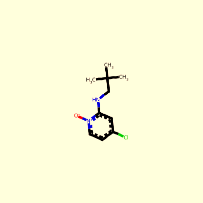 CC(C)(C)CNc1cc(Cl)cc[n+]1[O-]